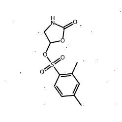 Cc1ccc(S(=O)(=O)OC2CNC(=O)O2)c(C)c1